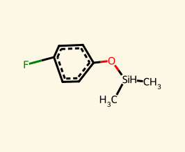 C[SiH](C)Oc1ccc(F)cc1